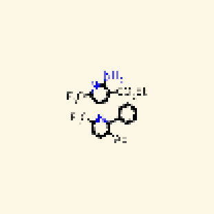 CC(=O)c1ccc(C(F)(F)F)nc1-c1ccccc1.CCOC(=O)c1ccc(C(F)(F)F)nc1N